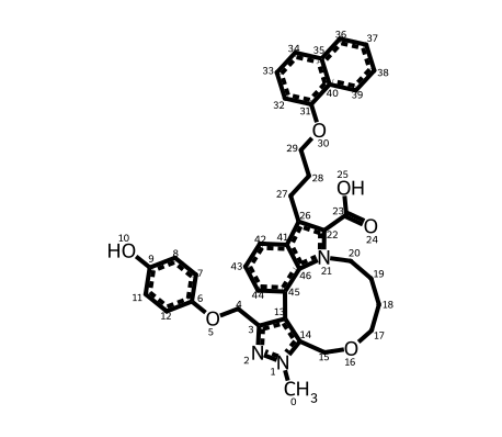 Cn1nc(COc2ccc(O)cc2)c2c1COCCCCn1c(C(=O)O)c(CCCOc3cccc4ccccc34)c3cccc-2c31